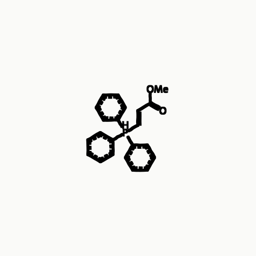 COC(=O)C=C[PH](c1ccccc1)(c1ccccc1)c1ccccc1